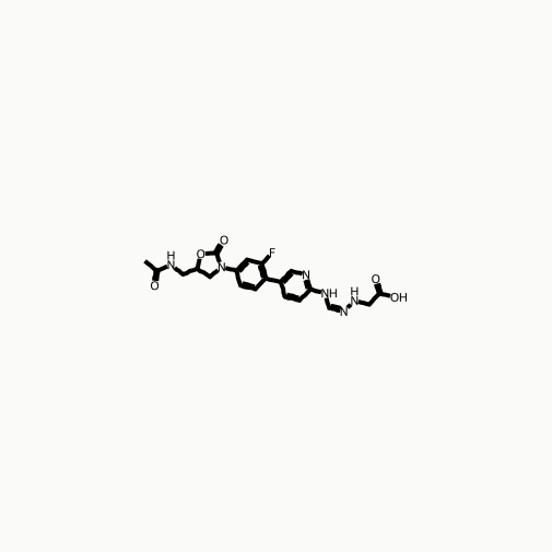 CC(=O)NCC1CN(c2ccc(-c3ccc(N/C=N\NCC(=O)O)nc3)c(F)c2)C(=O)O1